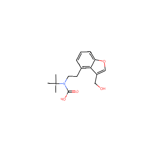 CC(C)(C)N(CCc1cccc2occ(CO)c12)C(=O)O